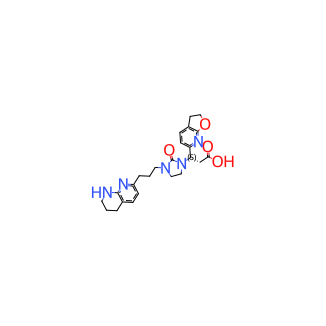 O=C(O)C[C@@H](c1ccc2c(n1)OCC2)N1CCN(CCCc2ccc3c(n2)NCCC3)C1=O